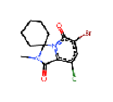 CN1C(=O)c2c(Cl)cc(Br)c(=O)n2C12CCCCC2